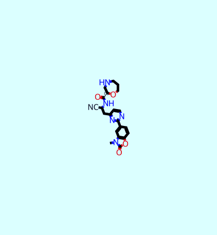 Cn1c(=O)oc2ccc(-c3nccc(CC(C#N)NC(=O)[C@@H]4CNCCCO4)n3)cc21